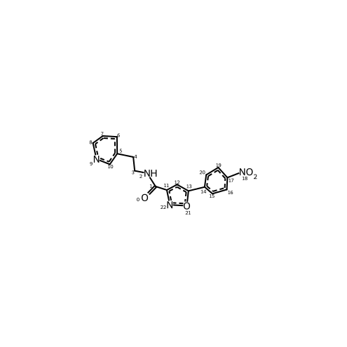 O=C(NCCc1cccnc1)c1cc(-c2ccc([N+](=O)[O-])cc2)on1